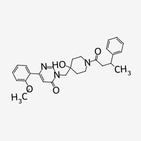 COc1ccccc1-c1cc(=O)n(CC2(O)CCN(C(=O)CC(C)c3ccccc3)CC2)cn1